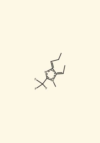 C/C=c1\c(=C/CC)nc(C(F)(F)F)n1C